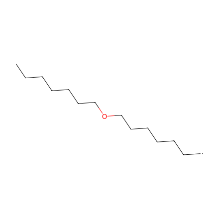 [CH2]CCCCCCOCCCCCCC